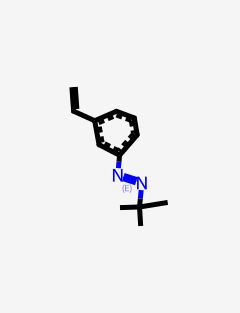 C=Cc1cccc(/N=N/C(C)(C)C)c1